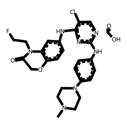 CN1CCN(c2ccc(Nc3ncc(Cl)c(Nc4ccc5c(c4)N(CCF)C(=O)CO5)n3)cc2)CC1.O=CO